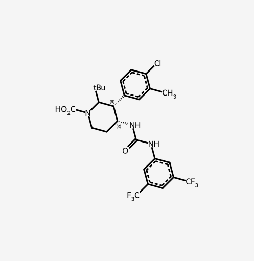 Cc1cc([C@H]2C(C(C)(C)C)N(C(=O)O)CC[C@H]2NC(=O)Nc2cc(C(F)(F)F)cc(C(F)(F)F)c2)ccc1Cl